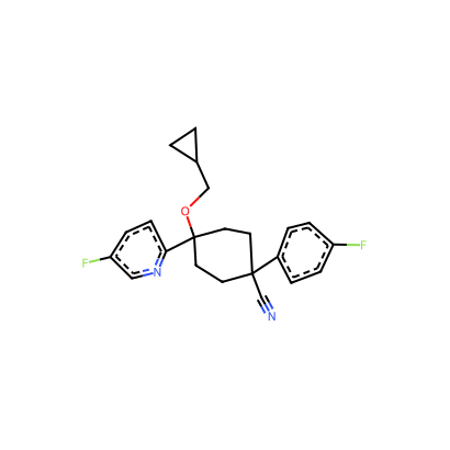 N#CC1(c2ccc(F)cc2)CCC(OCC2CC2)(c2ccc(F)cn2)CC1